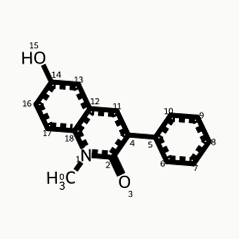 Cn1c(=O)c(-c2ccccc2)cc2cc(O)ccc21